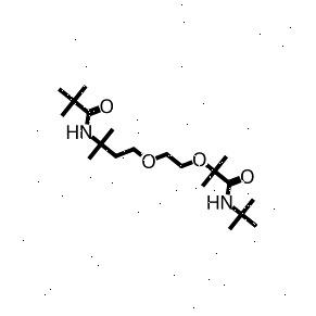 CC(C)(C)NC(=O)C(C)(C)OCCOCCC(C)(C)NC(=O)C(C)(C)C